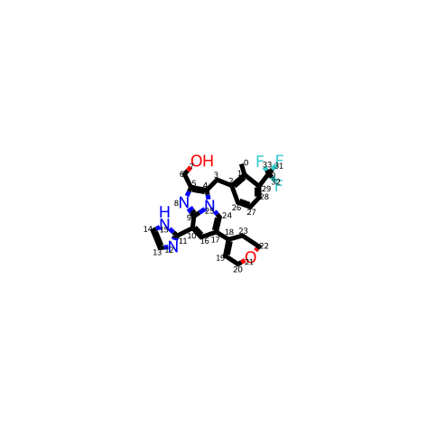 Cc1c(Cc2c(CO)nc3c(-c4ncc[nH]4)cc(C4=CCOCC4)cn23)cccc1C(F)(F)F